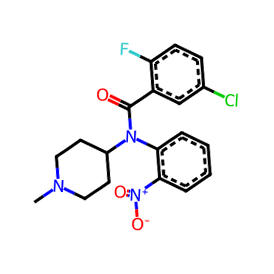 CN1CCC(N(C(=O)c2cc(Cl)ccc2F)c2ccccc2[N+](=O)[O-])CC1